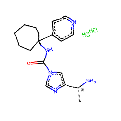 C[C@@H](N)c1cn(C(=O)NC2(c3ccncc3)CCCCC2)cn1.Cl.Cl